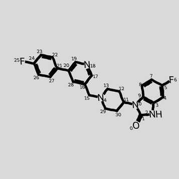 O=c1[nH]c2cc(F)ccc2n1C1CCN(Cc2cncc(-c3ccc(F)cc3)c2)CC1